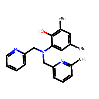 Cc1cccc(CN(Cc2ccccn2)c2cc(C(C)(C)C)cc(C(C)(C)C)c2O)n1